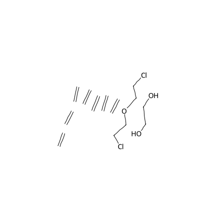 C=C.C=C.C=C.C=C.C=C.C=C.C=C.ClCCOCCCl.OCCO